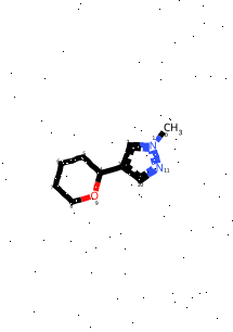 Cn1cc(C2C[CH]CCO2)cn1